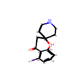 O=C1CC2(CCNCC2)Oc2cccc(I)c21